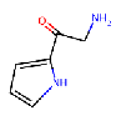 NCC(=O)c1ccc[nH]1